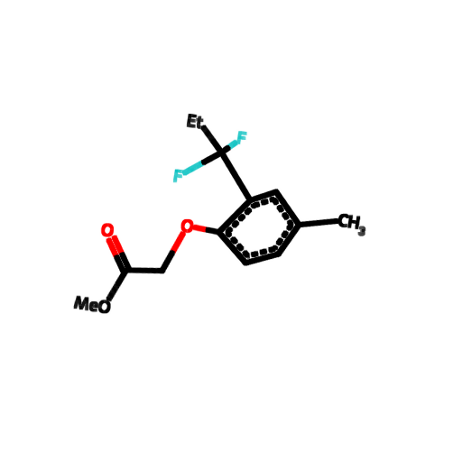 CCC(F)(F)c1cc(C)ccc1OCC(=O)OC